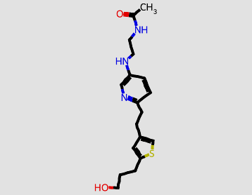 CC(=O)NCCNc1ccc(CCc2csc(CCCO)c2)nc1